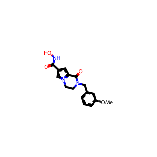 COc1cccc(CN2CCn3cc(C(=O)NO)cc3C2=O)c1